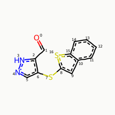 O=Cc1[nH]ncc1Sc1cc2ccccc2s1